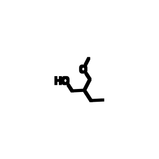 CCC(CO)COC